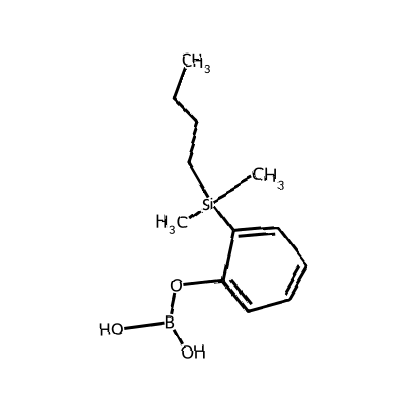 CCCC[Si](C)(C)c1ccccc1OB(O)O